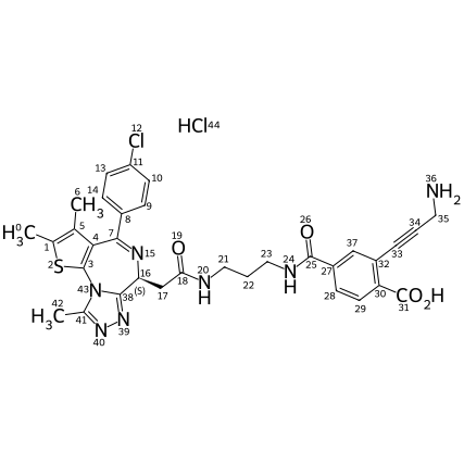 Cc1sc2c(c1C)C(c1ccc(Cl)cc1)=N[C@@H](CC(=O)NCCCNC(=O)c1ccc(C(=O)O)c(C#CCN)c1)c1nnc(C)n1-2.Cl